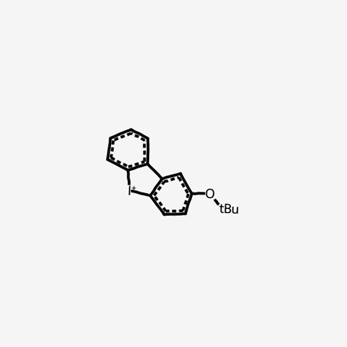 CC(C)(C)Oc1ccc2c(c1)-c1ccccc1[I+]2